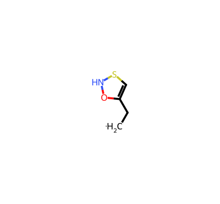 [CH2]CC1=CSNO1